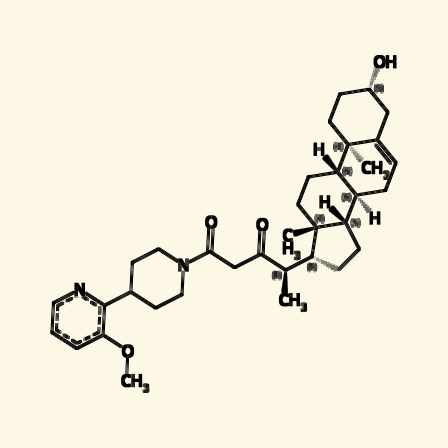 COc1cccnc1C1CCN(C(=O)CC(=O)[C@H](C)[C@H]2CC[C@H]3[C@@H]4CC=C5C[C@@H](O)CC[C@]5(C)[C@H]4CC[C@@]23C)CC1